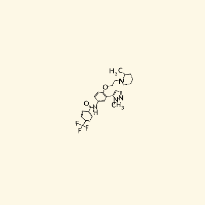 CC1CCCCN1CCOc1ccc(NC(=O)c2ccc(C(F)(F)F)cc2)cc1-c1ccnn1C